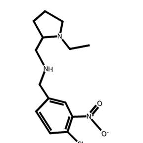 CCN1CCCC1CNCc1ccc(Cl)c([N+](=O)[O-])c1